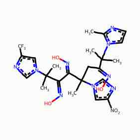 Cc1nccn1C(C)(C)C(CC(C)(C(=NO)C(=NO)C(C)(C)n1cnc(C(F)(F)F)c1)n1cnc([N+](=O)[O-])c1)=NO